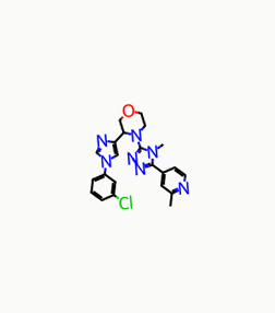 Cc1cc(-c2nnc(N3CCOCC3c3cn(-c4cccc(Cl)c4)cn3)n2C)ccn1